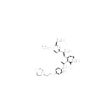 C=CC(=N\C(=C/N)OC)/C(N)=C/c1cc[nH]c(=O)c1C(=C)Nc1ccc(OCCN2CCOCC2)cc1